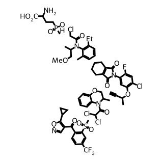 C#CC(C)Oc1cc(N2C(=O)C3=C(CCCC3)C2=O)c(F)cc1Cl.CC1COc2ccccc2N1C(=O)C(Cl)Cl.CCc1cccc(C)c1N(C(=O)CCl)C(C)COC.CP(=O)(O)CCC(N)C(=O)O.CS(=O)(=O)c1cc(C(F)(F)F)ccc1C(=O)c1cnoc1C1CC1